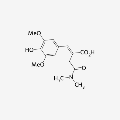 COc1cc(C=C(CC(=O)N(C)C)C(=O)O)cc(OC)c1O